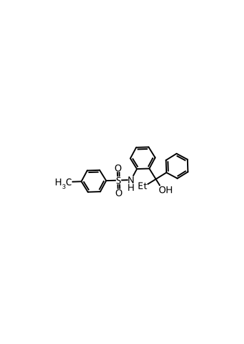 CCC(O)(c1ccccc1)c1ccccc1NS(=O)(=O)c1ccc(C)cc1